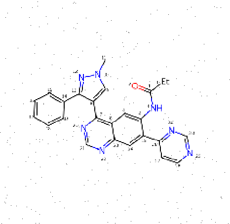 CCC(=O)Nc1cc2c(-c3cn(C)nc3-c3ccccc3)ncnc2cc1-c1ccncn1